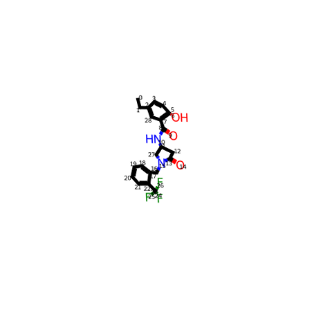 CCc1ccc(O)c(C(=O)NC2CC(=O)N(Cc3ccccc3C(F)(F)F)C2)c1